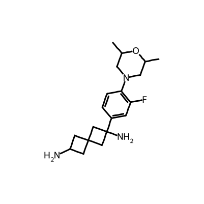 CC1CN(c2ccc(C3(N)CC4(CC(N)C4)C3)cc2F)CC(C)O1